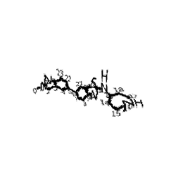 Cn1cc2cc(-c3ccc4nc(NC5CCNCC5)sc4c3)ccc2n1